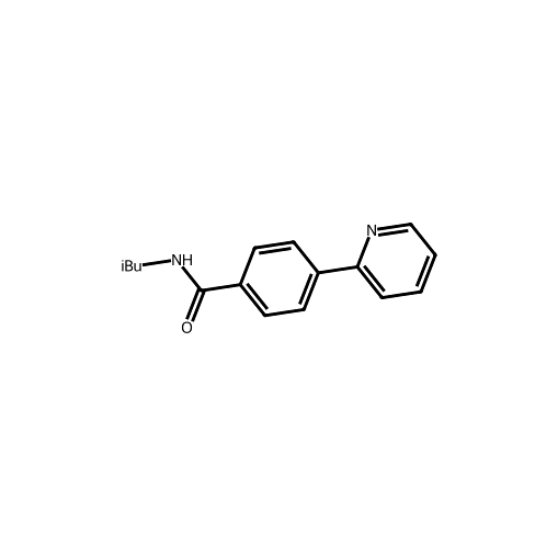 CCC(C)NC(=O)c1ccc(-c2ccccn2)cc1